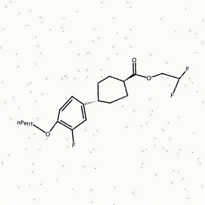 CCCCCOc1ccc([C@H]2CC[C@H](C(=O)OCC(F)F)CC2)cc1F